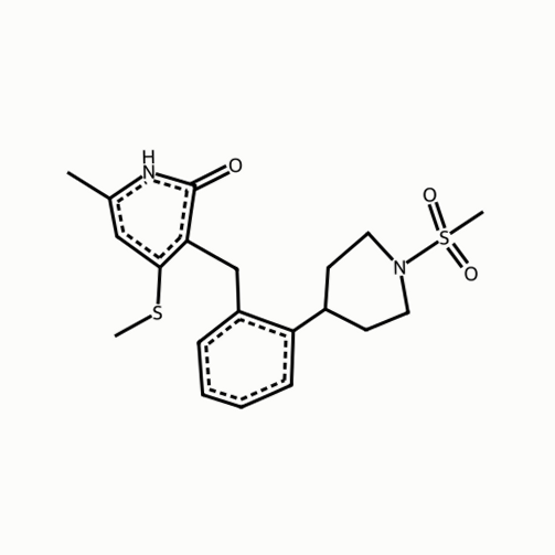 CSc1cc(C)[nH]c(=O)c1Cc1ccccc1C1CCN(S(C)(=O)=O)CC1